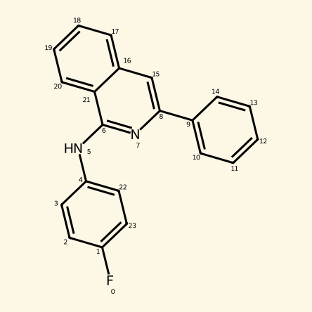 Fc1ccc(Nc2nc(-c3ccccc3)cc3ccccc23)cc1